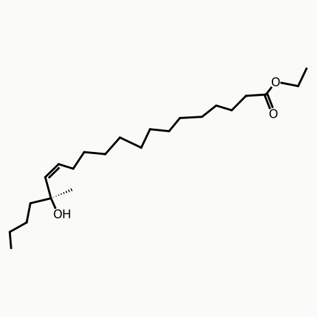 CCCC[C@](C)(O)/C=C\CCCCCCCCCCCCC(=O)OCC